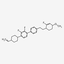 C=CC1CCC(c2ccc(-c3ccc(CCC4CCC(OC)C=C4F)cc3)c(F)c2F)CC1